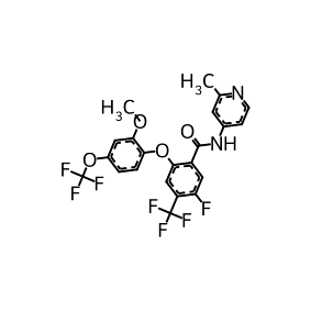 COc1cc(OC(F)(F)F)ccc1Oc1cc(C(F)(F)F)c(F)cc1C(=O)Nc1ccnc(C)c1